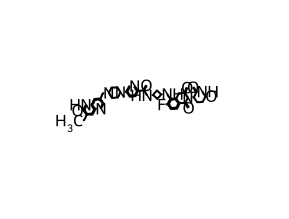 CCc1cc2ncc(CN3CCN(c4ccc(C(=O)N[C@H]5C[C@H](Nc6c(F)ccc7c6CC(=O)N(C6CCC(=O)NC6=O)C7=O)C5)nc4)CC3)cc2[nH]c1=O